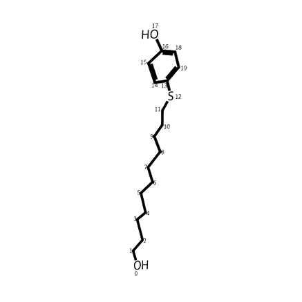 OCCCCCCCCCCCSc1ccc(O)cc1